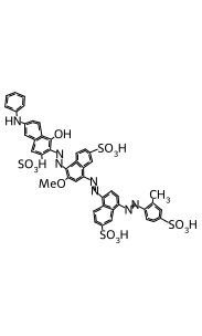 COc1cc(N=Nc2ccc(N=Nc3ccc(S(=O)(=O)O)cc3C)c3cc(S(=O)(=O)O)ccc23)c2cc(S(=O)(=O)O)ccc2c1N=Nc1c(S(=O)(=O)O)cc2cc(Nc3ccccc3)ccc2c1O